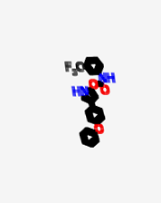 O=C(Nc1cccc(C(F)(F)F)c1)Oc1cc(-c2ccc(Oc3ccccc3)cc2)c[nH]1